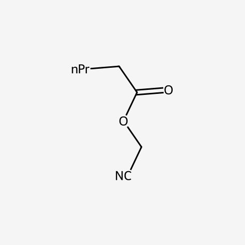 CCCCC(=O)OCC#N